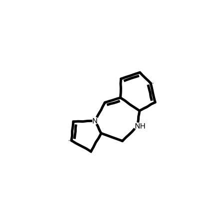 [C]1=CC2NCC3C[C]=CN3C=C2C=C1